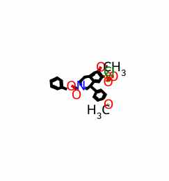 COc1ccc(C2CN(C(=O)OCc3ccccc3)CCc3cc(OC)c(S(=O)(=O)Cl)cc32)cc1